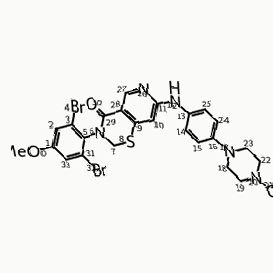 COc1cc(Br)c(N2CSc3cc(Nc4ccc(N5CCN(C)CC5)cc4)ncc3C2=O)c(Br)c1